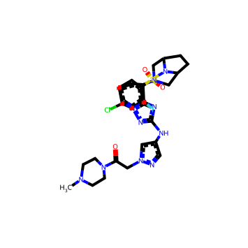 CN1CCN(C(=O)Cn2cc(Nc3nc4c(N5CC6CCC(C5)N6S(=O)(=O)c5ccc(Cl)cc5F)cccn4n3)cn2)CC1